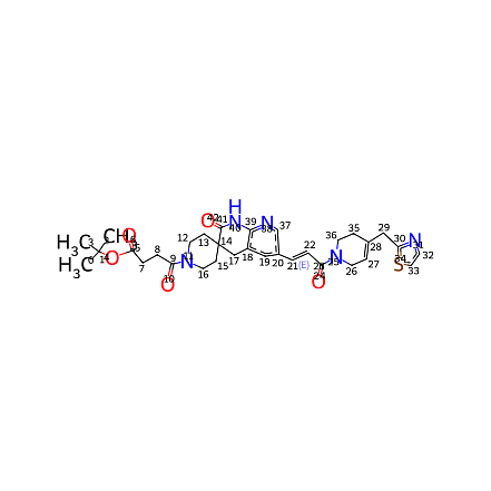 CC(C)(C)OC(=O)CCC(=O)N1CCC2(CC1)Cc1cc(/C=C/C(=O)N3CC=C(Cc4nccs4)CC3)cnc1NC2=O